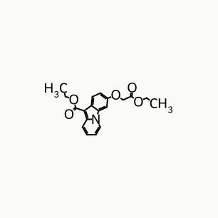 CCOC(=O)COc1ccc2c(C(=O)OCC)c3ccccn3c2c1